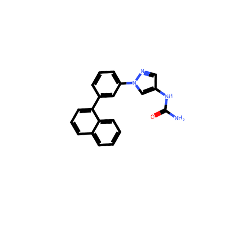 NC(=O)Nc1cnn(-c2cccc(-c3cccc4ccccc34)c2)c1